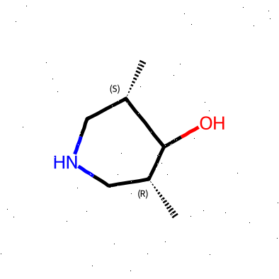 C[C@@H]1CNC[C@H](C)C1O